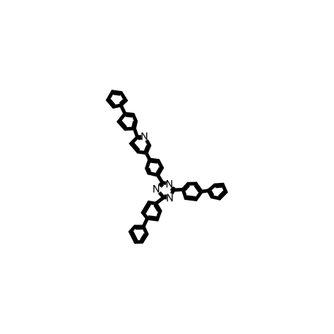 c1ccc(-c2ccc(-c3ccc(-c4ccc(-c5nc(-c6ccc(-c7ccccc7)cc6)nc(-c6ccc(-c7ccccc7)cc6)n5)cc4)cn3)cc2)cc1